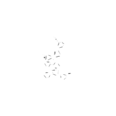 N#Cc1cccc(-c2ccc3c(c2)c2ccccc2n3-c2ccncc2-c2cc(C#N)ccc2-n2c3ccccc3c3cc(-c4cccc(C#N)c4)ccc32)c1